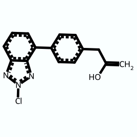 C=C(O)Cc1ccc(-c2cccc3nn(Cl)nc23)cc1